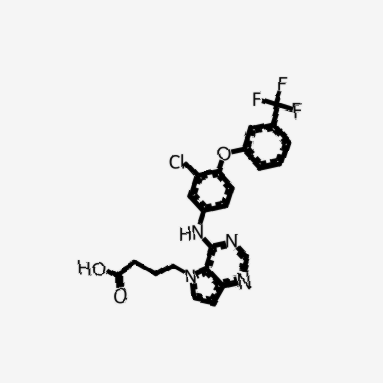 O=C(O)CCCn1ccc2ncnc(Nc3ccc(Oc4cccc(C(F)(F)F)c4)c(Cl)c3)c21